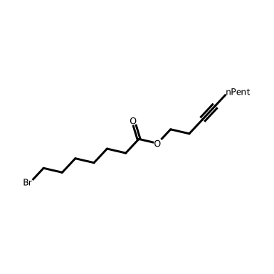 CCCCCC#CCCOC(=O)CCCCCCBr